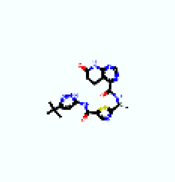 C[C@@H](NC(=O)c1ncnc2c1CCC(=O)N2)c1ncc(C(=O)Nc2cc(C(C)(C)C)n[nH]2)s1